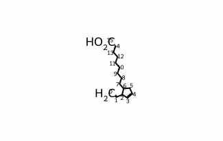 C=CC1C=CCC1CCCCCCCCC(=O)O